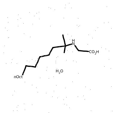 CCCCCCCCCCCCCC(C)(C)NCC(=O)O.O